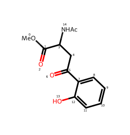 COC(=O)C(CC(=O)c1ccccc1O)NC(C)=O